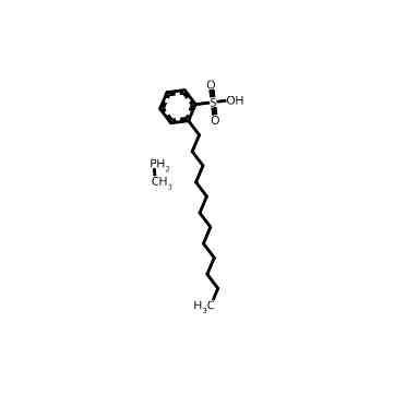 CCCCCCCCCCCCc1ccccc1S(=O)(=O)O.CP